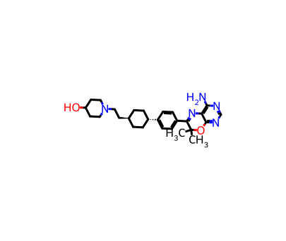 CC1(C)Oc2ncnc(N)c2N=C1c1ccc([C@H]2CC[C@H](CCN3CCC(O)CC3)CC2)cc1